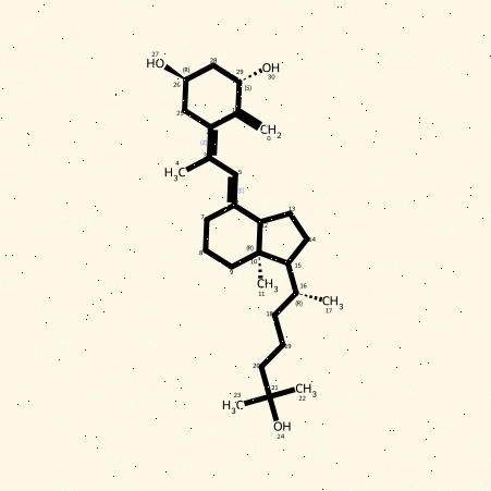 C=C1/C(=C(C)\C=C2/CCC[C@@]3(C)C2CCC3[C@H](C)CCCC(C)(C)O)C[C@@H](O)C[C@@H]1O